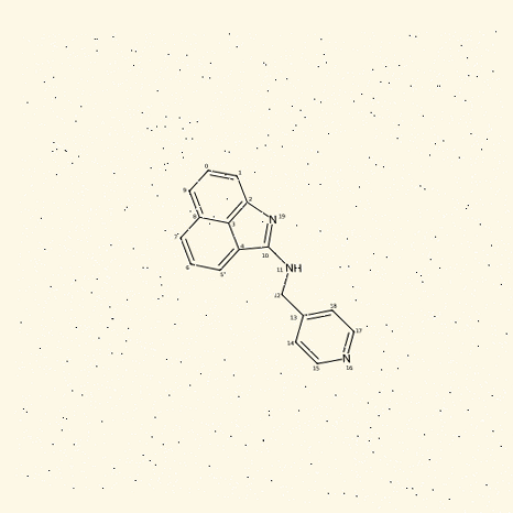 c1cc2c3c(cccc3c1)C(NCc1ccncc1)=N2